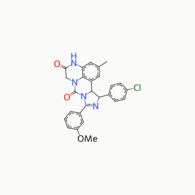 COc1cccc(C2=NC(c3ccc(Cl)cc3)C3c4cc(C)cc5c4N(CC(=O)N5)C(=O)N23)c1